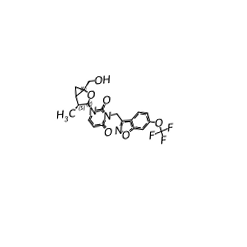 C[C@H]1C2C[C@]2(CO)O[C@H]1n1ccc(=O)n(Cc2noc3cc(OC(F)(F)F)ccc23)c1=O